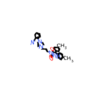 Cc1ccc(C2(c3ccc(C)cc3)NC(=O)N(CCCN3CCN(c4ccccc4C#N)CC3)C2=O)cc1